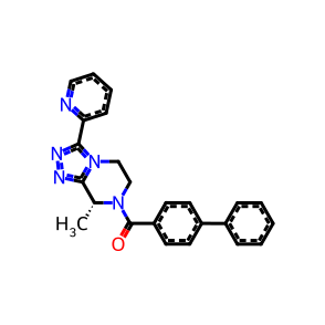 C[C@@H]1c2nnc(-c3ccccn3)n2CCN1C(=O)c1ccc(-c2ccccc2)cc1